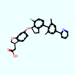 Cc1cc(-c2ccccn2)cc(C)c1-c1ccc(F)c2c1CC[C@H]2Oc1ccc2c(c1)OCC2CC(=O)O